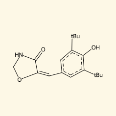 CC(C)(C)c1cc(C=C2OCNC2=O)cc(C(C)(C)C)c1O